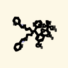 Cc1cc(C)c(OC(=O)C(C)(C)Br)c(C(c2ccccn2)N(CC/N=C/c2ccccn2)CC/N=C/c2ccccn2)c1